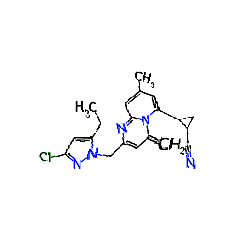 C=C1C=C(Cn2nc(Cl)cc2CC)N=C2C=C(C)C=C(C3CC3C#N)N12